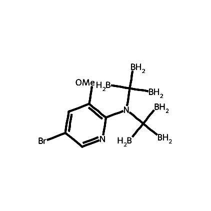 BC(B)(B)N(c1ncc(Br)cc1OC)C(B)(B)B